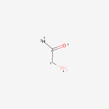 [2H]C(=O)CB